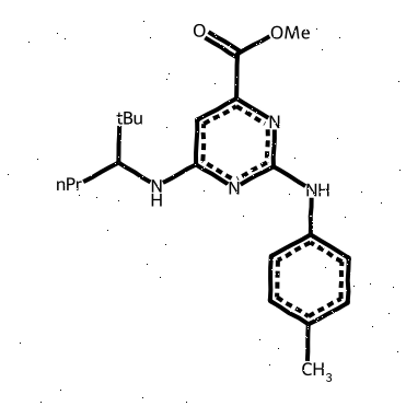 CCCC(Nc1cc(C(=O)OC)nc(Nc2ccc(C)cc2)n1)C(C)(C)C